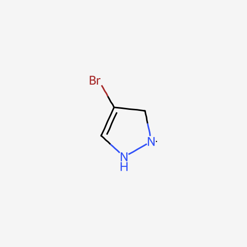 BrC1=CN[N]C1